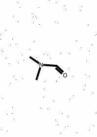 CN(C)[C]=O